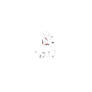 COc1ccc(CN2C(=O)CCC(n3c(=O)n(C)c4c(N5[C@@H]6CC[C@H]5CN(C(=O)O)C6)cccc43)C2=O)cc1